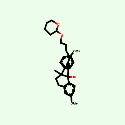 COc1ccc(C2(C)CCc3cc(OC)ccc3C2(O)C#CCCCCOC2CCCCO2)cc1